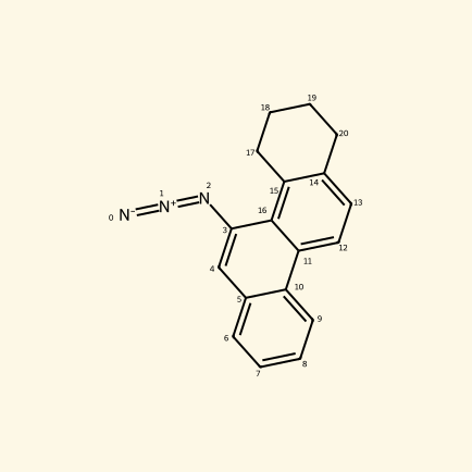 [N-]=[N+]=Nc1cc2ccccc2c2ccc3c(c12)CCCC3